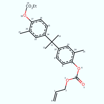 C=CCOC(=O)Oc1ccc(C(C)(C)c2ccc(OC(=O)OCC)c(C)c2)cc1C